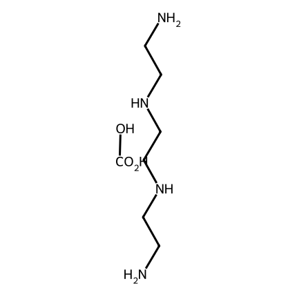 NCCNCCNCCN.O=C(O)O